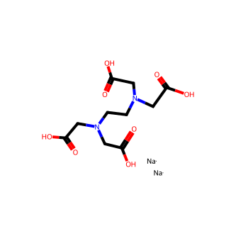 O=C(O)CN(CCN(CC(=O)O)CC(=O)O)CC(=O)O.[Na].[Na]